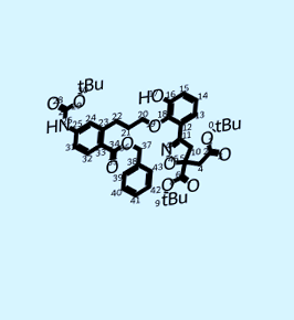 CC(C)(C)OC(=O)CC1(C(=O)OC(C)(C)C)CC(c2cccc(O)c2OCCCc2cc(NC(=O)OC(C)(C)C)ccc2C(=O)OCc2ccccc2)=NO1